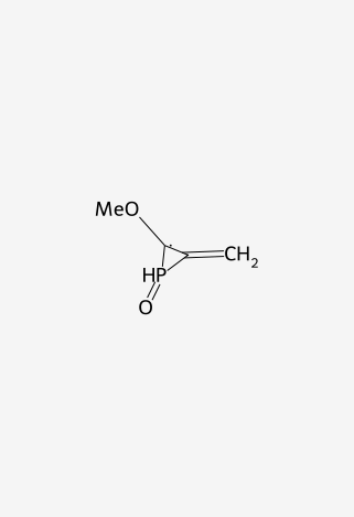 C=C1[C](OC)[PH]1=O